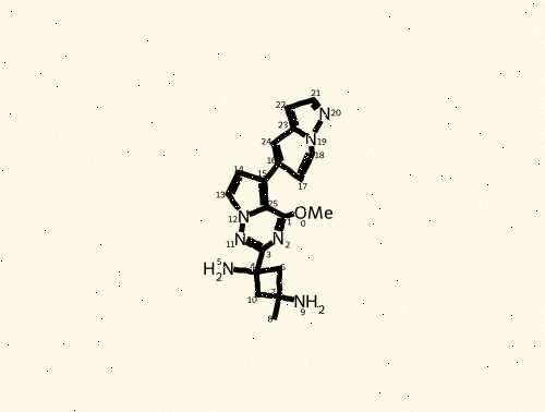 COc1nc(C2(N)CC(C)(N)C2)nn2ccc(-c3ccn4nccc4c3)c12